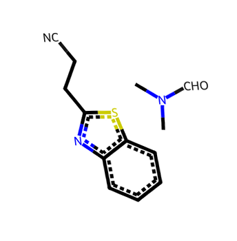 CN(C)C=O.N#CCCc1nc2ccccc2s1